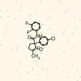 CC1=[N+]([O-])C(C(=O)Nc2cccc(F)c2F)(c2ccc(Cl)cc2)CC1